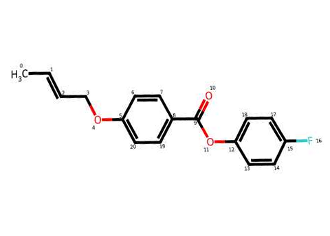 C/C=C/COc1ccc(C(=O)Oc2ccc(F)cc2)cc1